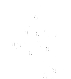 CCOCc1nc2c(N)nc3cc(N4CCOC4=O)cnc3c2n1CC(C)C